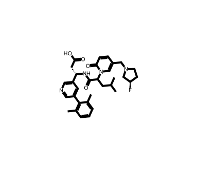 Cc1cccc(C)c1-c1cncc([C@H](CC(=O)O)NC(=O)C(CC(C)C)n2cc(CN3CC[C@@H](F)C3)ccc2=O)c1